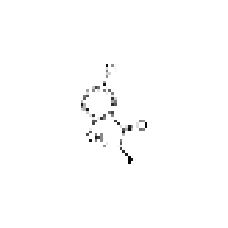 Nc1ccc(Cl)cc1C(=O)CF